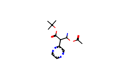 CC(=O)OC(N)C(C(=O)OC(C)(C)C)c1cnccn1